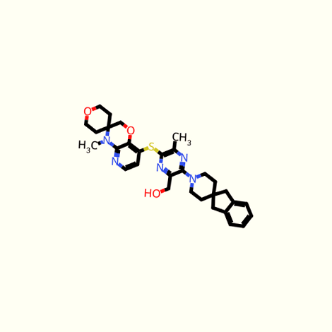 Cc1nc(N2CCC3(CC2)Cc2ccccc2C3)c(CO)nc1Sc1ccnc2c1OCC1(CCOCC1)N2C